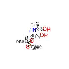 CC(CO)NC(C)CO.COS(=O)(=O)OC